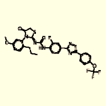 CCCc1ccc(OC)cc1N1C(=O)CSC1=NC(=O)Nc1ccc(-c2ncn(-c3ccc(OC(F)(F)F)cc3)n2)cc1F